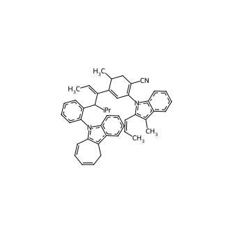 C/C=C\c1c(C)c2ccccc2n1C1=C(C#N)CC(C)C(/C(=C/C)C(c2ccccc2-n2c3c(c4ccccc42)CC=CC=C3)C(C)C)=C1